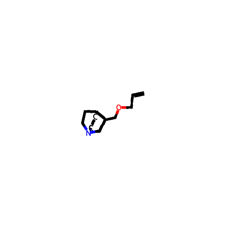 C=CCOCC1CN2CCC1CC2